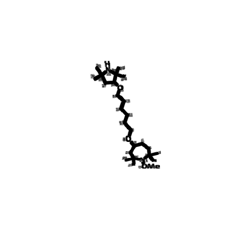 CON1C(C)(C)CCC(OCCCCCCOC2CC(C)(C)NC2(C)C)CC1(C)C